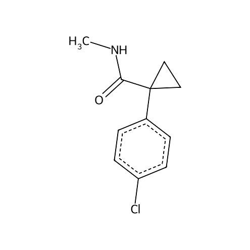 CNC(=O)C1(c2ccc(Cl)cc2)CC1